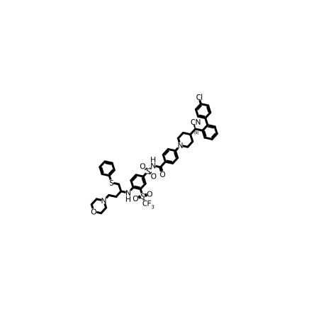 N#C[C@@H](c1ccccc1-c1ccc(Cl)cc1)C1CCN(c2ccc(C(=O)NS(=O)(=O)c3ccc(NC(CCN4CCOCC4)CSc4ccccc4)c(S(=O)(=O)C(F)(F)F)c3)cc2)CC1